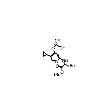 C[C@H](Oc1cc(NC(C(=O)OC(C)(C)C)C(C)(C)C)ncc1C1CC1)C(F)(F)F